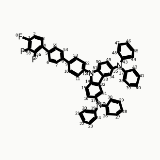 Fc1ccc(-c2ccc(-c3ccc(-n4c5ccc(N(c6ccccc6)c6ccccc6)cc5c5cc(N(c6ccccc6)c6ccccc6)ccc54)cc3)cc2)c(F)c1F